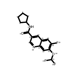 O=C(NC1CCCC1)c1cnc2cc(OC(F)F)c(F)cc2c1